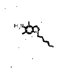 CCCCCCN1CCc2c1cc(C)c(N)c2C